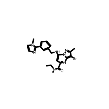 CCN(C)C(=O)c1cc(NCc2cccc(-c3nccn3C)c2)n2nc(C)c(Br)c2n1